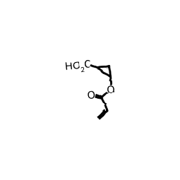 C=CC(=O)OC1CC1C(=O)O